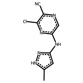 Cc1cc(Nc2cnc(C#N)c(Cl)n2)n[nH]1